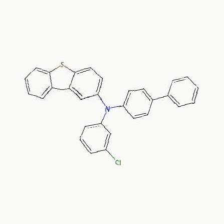 Clc1cccc(N(c2ccc(-c3ccccc3)cc2)c2ccc3sc4ccccc4c3c2)c1